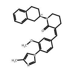 COc1cc(C=C2CCCN([C@@H]3CCc4ccccc4C3)C2=O)ccc1-n1cnc(C)c1